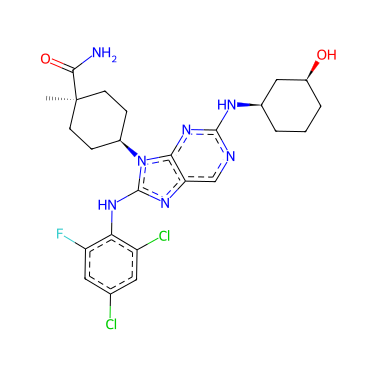 C[C@]1(C(N)=O)CC[C@@H](n2c(Nc3c(F)cc(Cl)cc3Cl)nc3cnc(N[C@@H]4CCC[C@H](O)C4)nc32)CC1